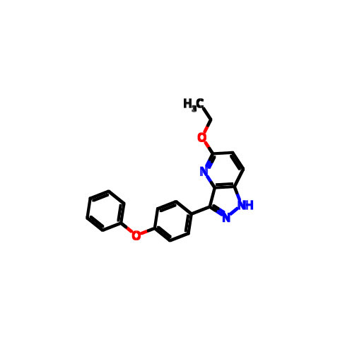 CCOc1ccc2[nH]nc(-c3ccc(Oc4ccccc4)cc3)c2n1